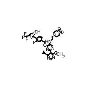 COc1ncnc(C2CC2)c1-c1ncc(NCCN2CCS(=O)(=O)CC2)c(OCc2ccc(-c3nc(C(F)(F)F)cn3C)c(F)c2)n1